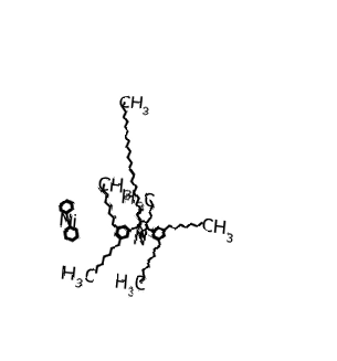 CCCCCCCCCCCCCCCCCCCCC=CC1=C(c2cc(CCCCCCCC)cc(CCCCCCCC)c2)[N+](=[N-])C(c2cc(CCCCCCCC)cc(CCCCCCCC)c2)=C1CCCC.c1cc[c]([Ni][c]2ccccc2)cc1